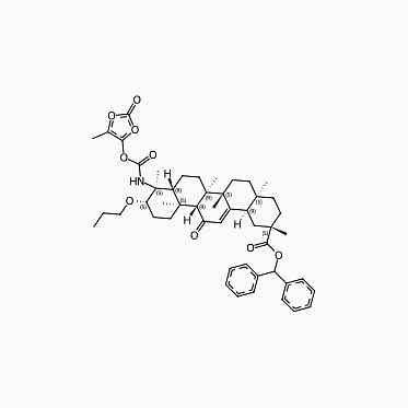 CCCO[C@H]1CC[C@@]2(C)[C@@H](CC[C@]3(C)[C@@H]2C(=O)C=C2[C@@H]4C[C@@](C)(C(=O)OC(c5ccccc5)c5ccccc5)CC[C@]4(C)CC[C@]23C)[C@]1(C)NC(=O)Oc1oc(=O)oc1C